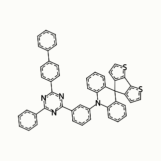 c1ccc(-c2ccc(-c3nc(-c4ccccc4)nc(-c4cccc(N5c6ccccc6C6(c7ccccc75)c5ccsc5-c5sccc56)c4)n3)cc2)cc1